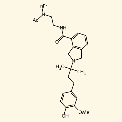 CCCN(CCNC(=O)c1cccc2c1CN(C(C)(C)CCc1ccc(O)c(OC)c1)C2)C(C)=O